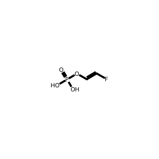 O=P(O)(O)OC=CF